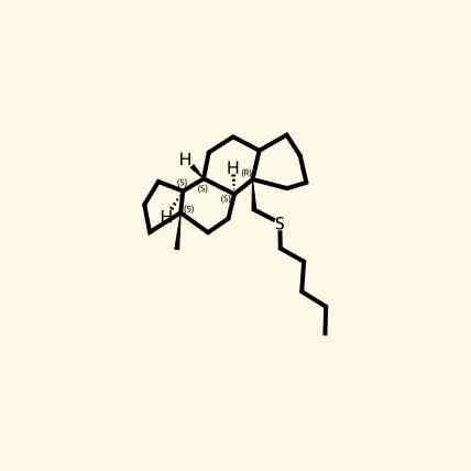 CCCCCSC[C@]12CCCCC1CC[C@H]1[C@@H]3CCC[C@@]3(C)CC[C@@H]12